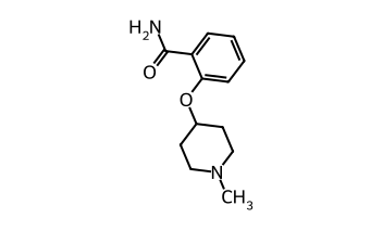 CN1CCC(Oc2ccccc2C(N)=O)CC1